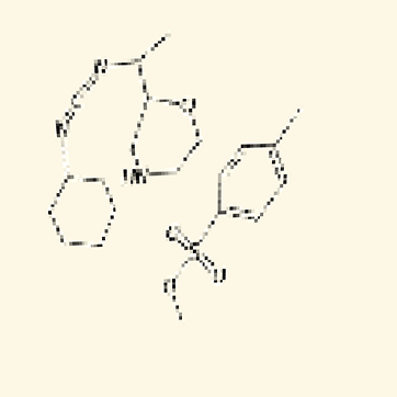 CC(N=C=NC1CCCCC1)C1CNCCO1.COS(=O)(=O)c1ccc(C)cc1